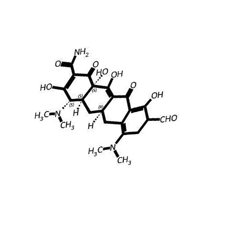 CN(C)C1=C2C[C@H]3C[C@H]4[C@H](N(C)C)C(O)=C(C(N)=O)C(=O)[C@@]4(O)C(O)=C3C(=O)C2=C(O)C(C=O)C1